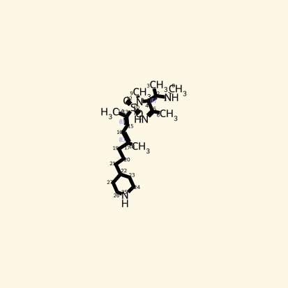 CN/C(C)=C(\C(C)=N)N(C)S(=O)(=O)/C(C)=C/C=C(\C)CCCC1CCNCC1